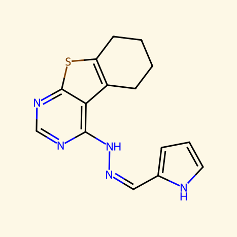 C(=N/Nc1ncnc2sc3c(c12)CCCC3)/c1ccc[nH]1